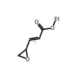 CCOC(=O)/C=C/C1CO1